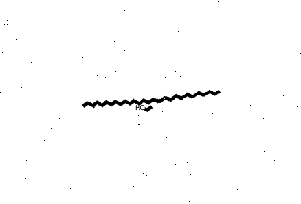 CCCCCCCCCCCCCCCCCCCCCCCCCCCC.CCO